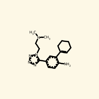 CN(C)CCn1nnnc1-c1ccc(N)c(C2=CCCCC2)c1